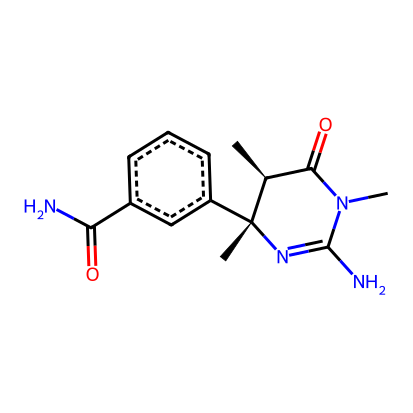 C[C@H]1C(=O)N(C)C(N)=N[C@]1(C)c1cccc(C(N)=O)c1